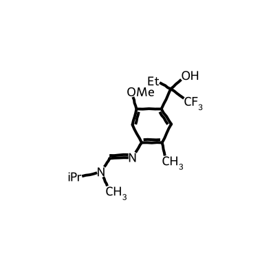 CCC(O)(c1cc(C)c(/N=C/N(C)C(C)C)cc1OC)C(F)(F)F